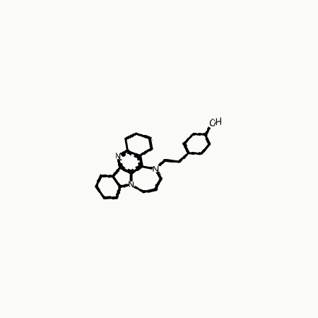 OC1CCC(CCN2CCCN3c4c(nc5c(c42)CCCC5)C2CCCCC23)CC1